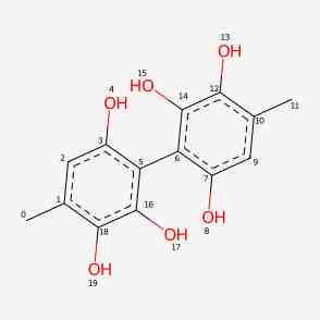 Cc1cc(O)c(-c2c(O)cc(C)c(O)c2O)c(O)c1O